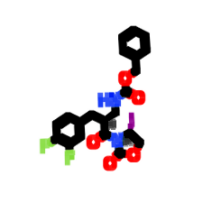 O=C(NC[C@H](Cc1ccc(F)c(F)c1)C(=O)N1C(=O)OC[C@H]1I)OCc1ccccc1